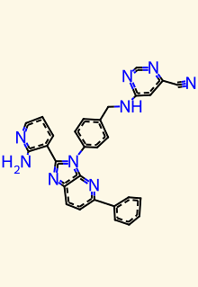 N#Cc1cc(NCc2ccc(-n3c(-c4cccnc4N)nc4ccc(-c5ccccc5)nc43)cc2)ncn1